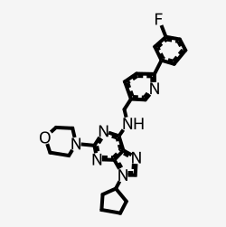 Fc1cccc(-c2ccc(CNc3nc(N4CCOCC4)nc4c3ncn4C3CCCC3)cn2)c1